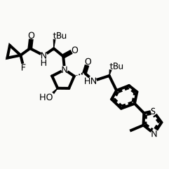 Cc1ncsc1-c1ccc([C@@H](NC(=O)[C@@H]2C[C@@H](O)CN2C(=O)[C@@H](NC(=O)C2(F)CC2)C(C)(C)C)C(C)(C)C)cc1